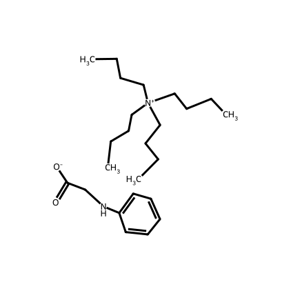 CCCC[N+](CCCC)(CCCC)CCCC.O=C([O-])CNc1ccccc1